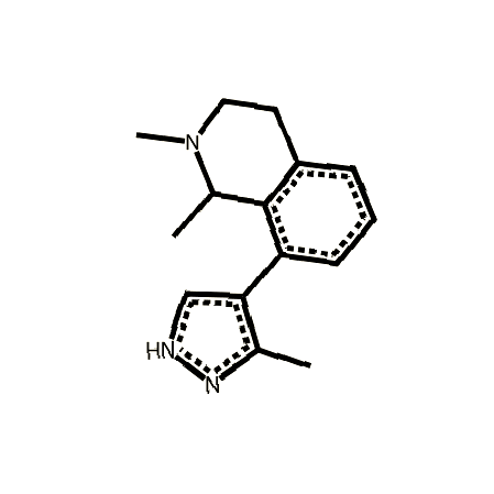 Cc1n[nH]cc1-c1cccc2c1C(C)N(C)CC2